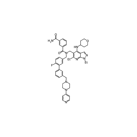 CCc1nc2c(cnn2CC)c(NC2CCOCC2)c1CN(Cc1ccc(F)c(-c2cccc(CN3CCN(c4ccncc4)CC3)c2)c1)C(=O)c1cccc(C(N)=O)c1